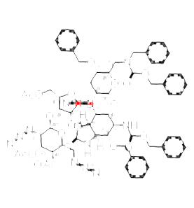 CC(=O)OC[C@H]1O[C@@H](O[C@H]2[C@H](O[C@H]3O[C@H]([C@H](C)N(Cc4ccccc4)C(=O)OCc4ccccc4)[C@@H](OCc4ccccc4)C[C@H]3N=[N+]=[N-])[C@@H](NC(=O)OCc3ccccc3)[C@H](OCc3ccccc3)[C@H]3NC(=O)O[C@@H]32)[C@H](OC(C)=O)[C@@H]1O[C@H]1O[C@@H](CN=[N+]=[N-])[C@@H](OC(C)=O)[C@H](OC(C)=O)[C@H]1N=[N+]=[N-]